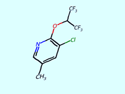 Cc1cnc(OC(C(F)(F)F)C(F)(F)F)c(Cl)c1